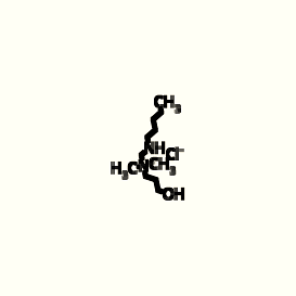 CCCCCNC[N+](C)(C)CCCO.[Cl-]